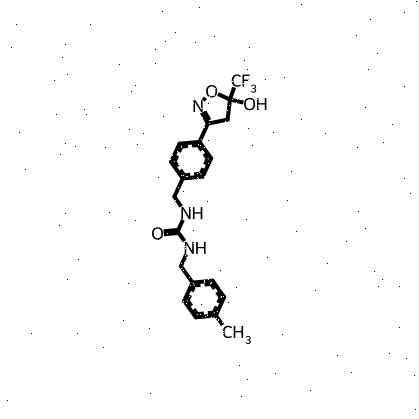 Cc1ccc(CNC(=O)NCc2ccc(C3=NOC(O)(C(F)(F)F)C3)cc2)cc1